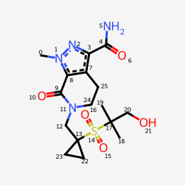 Cn1nc(C(N)=O)c2c1C(=O)N(CC1(S(=O)(=O)C(C)(C)CO)CC1)CC2